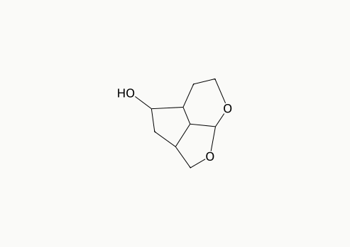 OC1CC2COC3OCCC1C23